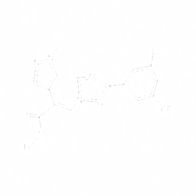 CC(C)OC(=O)/C(=C/n1cnc(-c2cc(C(F)(F)F)cc(C(F)(F)F)c2)n1)c1cnn(C)c1